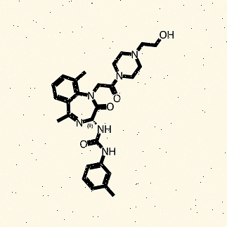 CC1=N[C@@H](NC(=O)Nc2cccc(C)c2)C(=O)N(CC(=O)N2CCN(CCO)CC2)c2c(C)cccc21